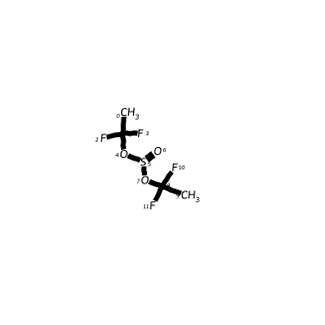 CC(F)(F)OS(=O)OC(C)(F)F